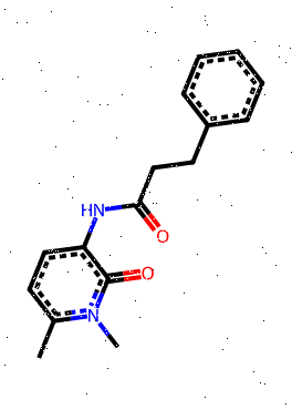 Cc1ccc(NC(=O)CCc2ccccc2)c(=O)n1C